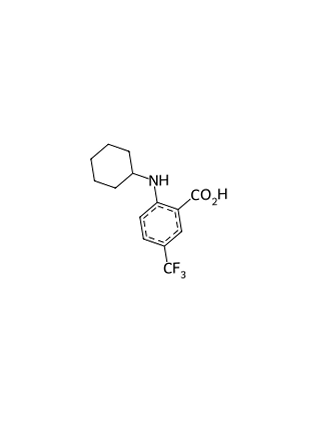 O=C(O)c1cc(C(F)(F)F)ccc1NC1CCCCC1